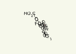 COc1cc(F)c(-c2ccc(CCC(=O)O)cc2)cc1C(=O)NC1C2CCC(C2)C1C(=O)Nc1cccc(S(=O)(=O)C(F)(F)F)c1